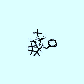 CC(C)(C)OC(=O)N[C@@]1(C(=O)O)C(C)(C)C(C)(C)C(C)(C)[C@@]1(C)OCc1ccccc1